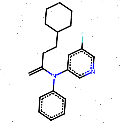 C=C(CCC1CCCCC1)N(c1ccccc1)c1cncc(F)c1